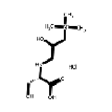 C[N+](C)(C)CC(O)CN[C@@H](CO)C(=O)O.Cl